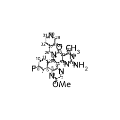 COc1cncc(-c2cc(F)ccc2[C@H]2Cc3nc(N)nc(C)c3C(=O)N2Cc2ccncc2)n1